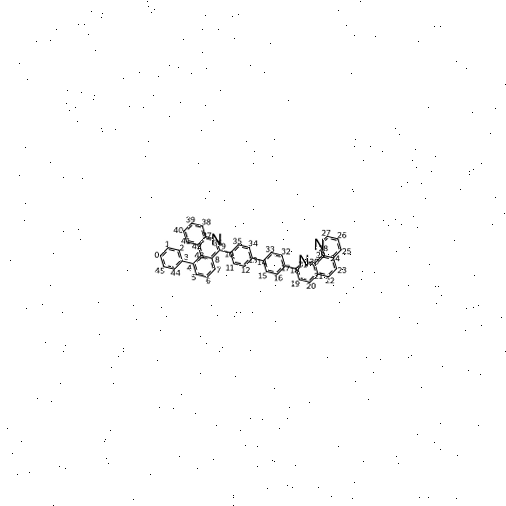 c1ccc(-c2cccc3c(-c4ccc(-c5ccc(-c6ccc7ccc8cccnc8c7n6)cc5)cc4)nc4ccccc4c23)cc1